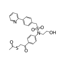 CC(=O)SCC(=O)c1ccc(N(CCO)S(=O)(=O)Cc2ccc(-c3ccccn3)cc2)cc1